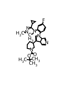 C=N/N=C(/C1CC1)N(CC)c1cc(F)ccc1N1C=C(C2CCCN(C(=O)OC(C)(C)C)C2)C2C=CN=CC21